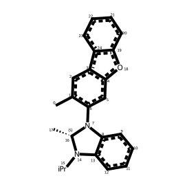 Cc1cc2c(cc1N1c3ccccc3N(C(C)C)[C@@H]1C)oc1ccccc12